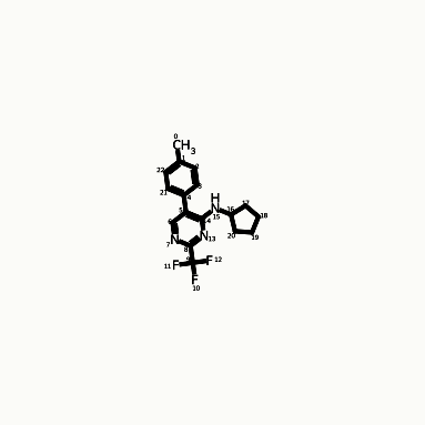 Cc1ccc(-c2cnc(C(F)(F)F)nc2NC2CCCC2)cc1